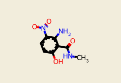 CNC(=O)c1c(O)ccc([N+](=O)[O-])c1N